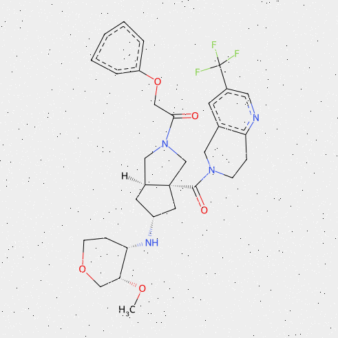 CO[C@@H]1COCC[C@@H]1N[C@@H]1C[C@H]2CN(C(=O)COc3ccccc3)C[C@@]2(C(=O)N2CCc3ncc(C(F)(F)F)cc3C2)C1